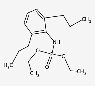 CCCc1cccc(CCC)c1NP(=O)(OCC)OCC